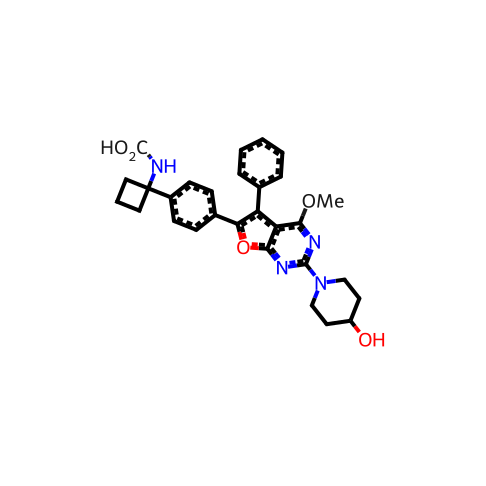 COc1nc(N2CCC(O)CC2)nc2oc(-c3ccc(C4(NC(=O)O)CCC4)cc3)c(-c3ccccc3)c12